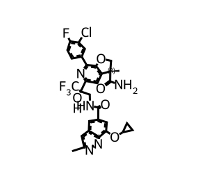 Cc1cc2cc(C(=O)NCC(O)(c3cc4c(c(-c5ccc(F)c(Cl)c5)n3)OC[C@]4(C)C(N)=O)C(F)(F)F)cc(OC3CC3)c2nn1